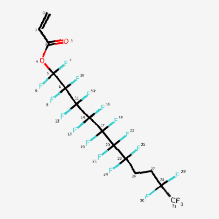 C=CC(=O)OC(F)(F)C(F)(F)C(F)(F)C(F)(F)C(F)(F)C(F)(F)C(F)(F)CCC(F)(F)C(F)(F)F